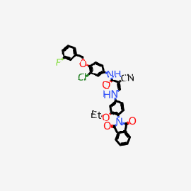 CCOc1cc(NC=C(C#N)C(=O)Nc2ccc(OCc3cccc(F)c3)c(Cl)c2)ccc1N1C(=O)c2ccccc2C1=O